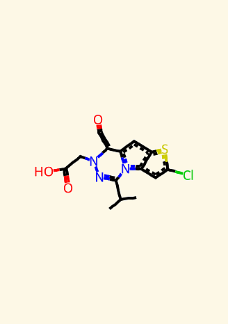 CC(C)C1=NN(CC(=O)O)C(=C=O)c2cc3sc(Cl)cc3n21